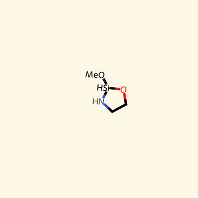 CO[SiH]1NCCO1